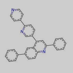 c1ccc(-c2ccc3nc(-c4ccccc4)cc(-c4ccc(-c5ccncc5)nc4)c3c2)cc1